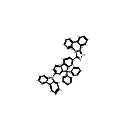 c1ccc(C2(c3ccccc3)c3cc(-c4nnc5c6ccccc6c6ccccc6n45)ccc3-c3ccc(-n4c5ccccc5c5ccccc54)cc32)cc1